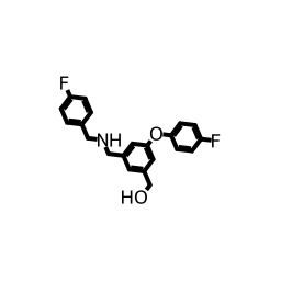 OCc1cc(CNCc2ccc(F)cc2)cc(Oc2ccc(F)cc2)c1